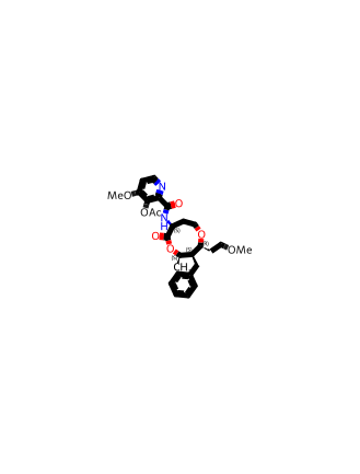 COCC[C@H]1OCC[C@H](NC(=O)c2nccc(OC)c2OC(C)=O)C(=O)O[C@@H](C)[C@@H]1Cc1ccccc1